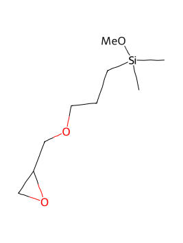 CO[Si](C)(C)CCCOCC1CO1